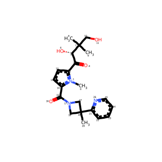 Cn1c(C(=O)[C@H](O)C(C)(C)CO)ccc1C(=O)N1CC(C)(c2ccccn2)C1